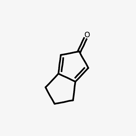 O=C1C=C2CCCC2=C1